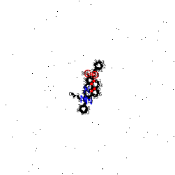 CCCCn1c(-c2ccccc2)nc(-c2ccccc2)c1CN(Cc1ccc(OCc2ccccc2)c(OC)c1)CC1CCCCC1